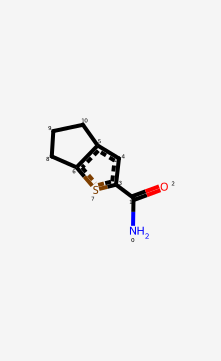 NC(=O)c1cc2c(s1)CCC2